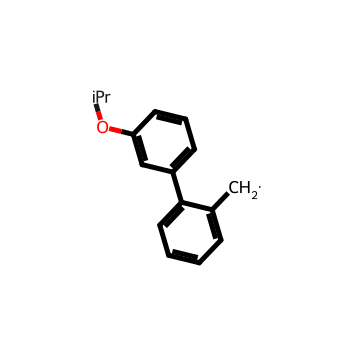 [CH2]c1ccccc1-c1cccc(OC(C)C)c1